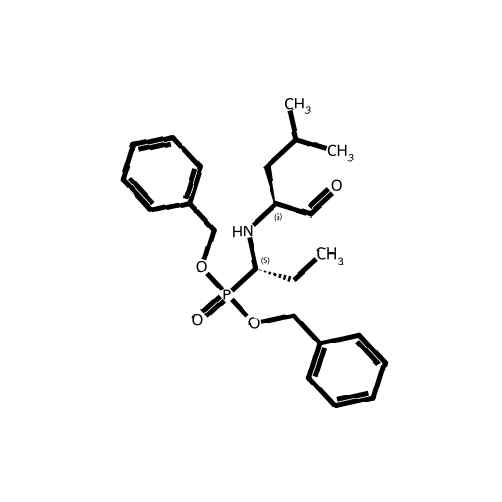 CC[C@@H](N[C@H]([C]=O)CC(C)C)P(=O)(OCc1ccccc1)OCc1ccccc1